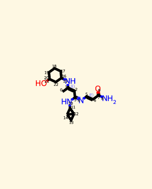 C\C(=C/C(=N\C=C\C(N)=O)NC1C2CC21)NC1CCCC(O)C1